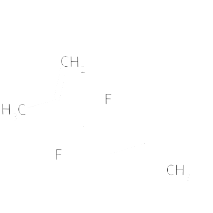 C=C(C)C(F)(F)CCC